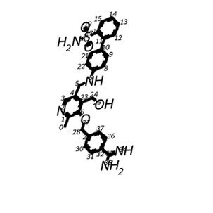 Cc1ncc(CNc2ccc(-c3ccccc3S(N)(=O)=O)cc2)c(CO)c1OCc1ccc(C(=N)N)cc1